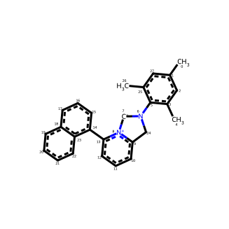 Cc1cc(C)c(N2[CH-][n+]3c(cccc3-c3cccc4ccccc34)C2)c(C)c1